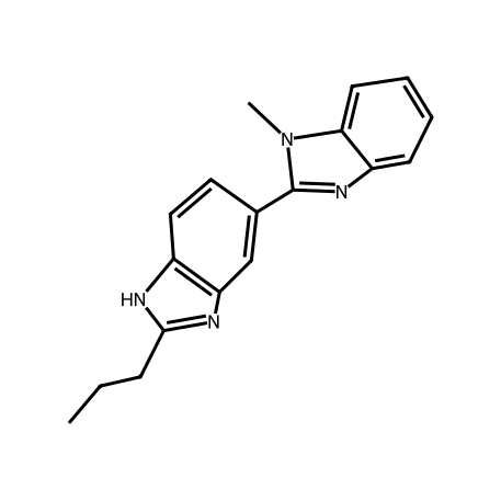 CCCc1nc2cc(-c3nc4ccccc4n3C)ccc2[nH]1